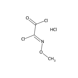 CON=C(Cl)C(=O)Cl.Cl